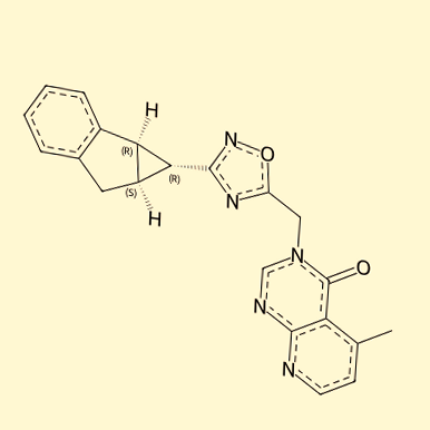 Cc1ccnc2ncn(Cc3nc([C@@H]4[C@H]5Cc6ccccc6[C@H]54)no3)c(=O)c12